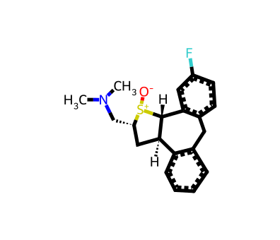 CN(C)C[C@H]1C[C@@H]2c3ccccc3Cc3ccc(F)cc3[C@H]2[S+]1[O-]